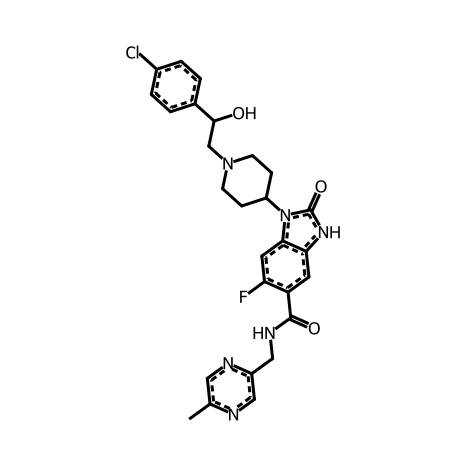 Cc1cnc(CNC(=O)c2cc3[nH]c(=O)n(C4CCN(CC(O)c5ccc(Cl)cc5)CC4)c3cc2F)cn1